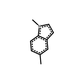 Cc1ccc2c(ccn2C)c1